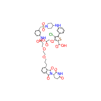 O=C(O)COc1c(C(=O)O)sc(-c2cccc(NC3CCN(S(=O)(=O)Cc4cccc(NC(=O)CCOCCOCCCc5cccc6c5C(=O)N(C5CCC(=O)NC5=O)C6=O)c4)CC3)c2)c1Cl